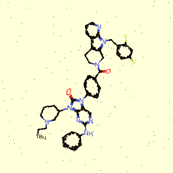 CC(C)(C)CCN1CCCC(n2c(=O)n(-c3ccc(C(=O)N4CCc5c(n(Cc6ccc(F)cc6F)c6ncccc56)C4)cc3)c3cnc(Nc4ccccc4)nc32)C1